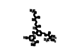 COCC(=O)NCCC(=O)Nc1cc(COC(=O)C(C)(C)C)ccc1O[C@H]1C[C@@H](O)C[C@@H](C(=O)O)O1